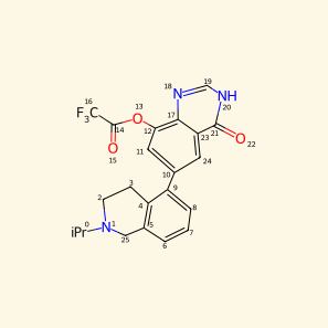 CC(C)N1CCc2c(cccc2-c2cc(OC(=O)C(F)(F)F)c3nc[nH]c(=O)c3c2)C1